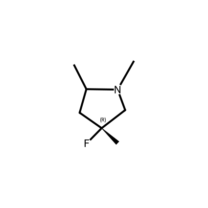 CC1C[C@@](C)(F)CN1C